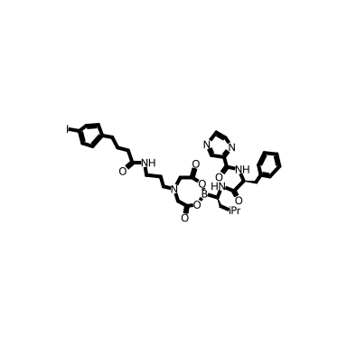 CC(C)C[C@H](NC(=O)[C@H](Cc1ccccc1)NC(=O)c1cnccn1)B1OC(=O)CN(CCCNC(=O)CCCc2ccc(I)cc2)CC(=O)O1